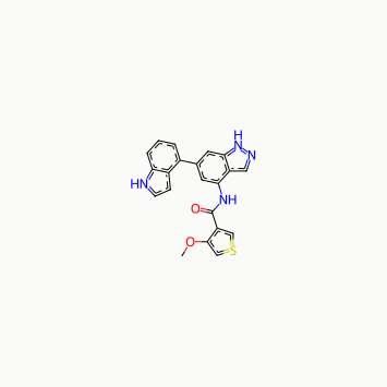 COc1cscc1C(=O)Nc1cc(-c2cccc3[nH]ccc23)cc2[nH]ncc12